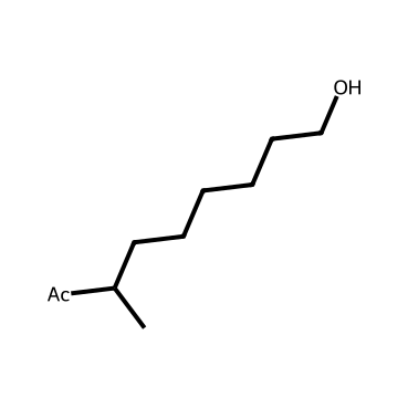 CC(=O)C(C)CCCCCCO